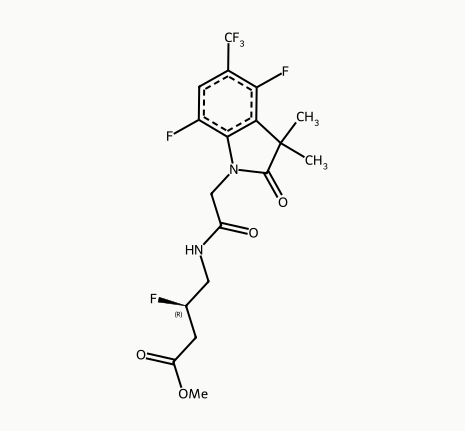 COC(=O)C[C@@H](F)CNC(=O)CN1C(=O)C(C)(C)c2c(F)c(C(F)(F)F)cc(F)c21